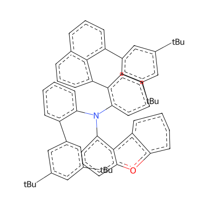 CC(C)(C)c1cc(-c2ccccc2N(c2ccccc2-c2cccc3cccc(-c4cc(C(C)(C)C)cc(C(C)(C)C)c4)c23)c2cccc3oc4ccccc4c23)cc(C(C)(C)C)c1